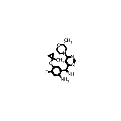 C[C@@H]1CN(c2cc(C(=N)c3cc(OC4(C)CC4)c(F)cc3N)ncn2)CCO1